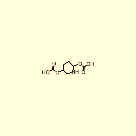 O=C(O)OC1CCC(OC(=O)O)NC1